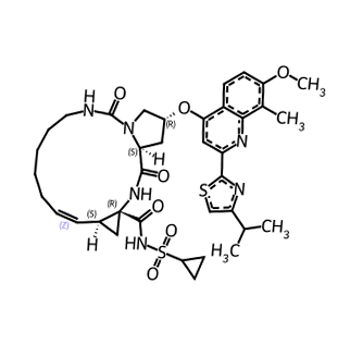 COc1ccc2c(O[C@@H]3C[C@H]4C(=O)N[C@]5(C(=O)NS(=O)(=O)C6CC6)C[C@H]5/C=C\CCCCCNC(=O)N4C3)cc(-c3nc(C(C)C)cs3)nc2c1C